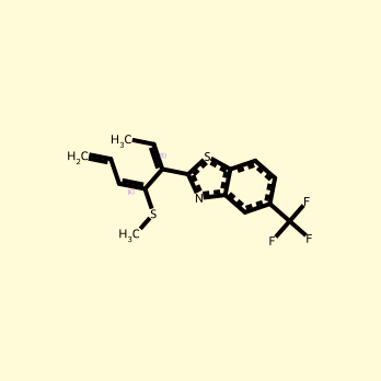 C=C/C=C(SC)\C(=C/C)c1nc2cc(C(F)(F)F)ccc2s1